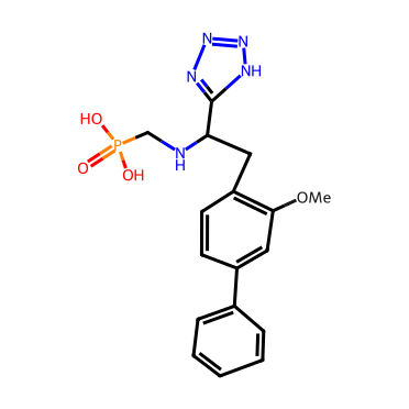 COc1cc(-c2ccccc2)ccc1CC(NCP(=O)(O)O)c1nnn[nH]1